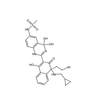 CC(C)CCC1(NCC2CC2)C(=O)C(C2=NS(O)(O)c3cc(NS(C)(=O)=O)ccc3N2)=C(O)c2ccccc21